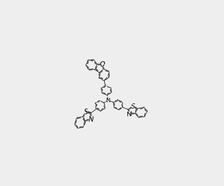 c1ccc2sc(-c3ccc(N(c4ccc(-c5ccc6oc7ccccc7c6c5)cc4)c4ccc(-c5nc6ccccc6s5)cc4)cc3)nc2c1